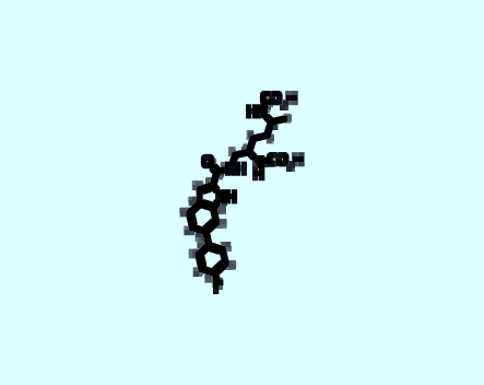 CC(CCC(CNC(=O)c1cc2ccc(-c3ccc(F)cc3)cc2[nH]1)NC(=O)O)NC(=O)O